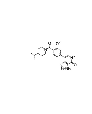 COc1cc(-c2cn(C)c(=O)c3[nH]ncc23)ccc1C(=O)N1CCC(C(C)C)CC1